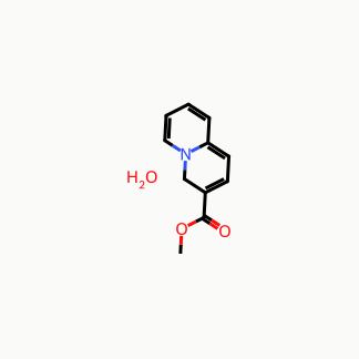 COC(=O)C1=CC=C2C=CC=CN2C1.O